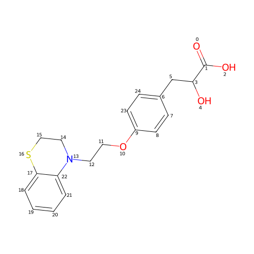 O=C(O)C(O)Cc1ccc(OCCN2CCSc3ccccc32)cc1